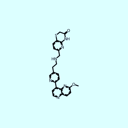 COc1ccc2nccc(-c3ccc(CCNCc4ccc5c(n4)NC(=O)CS5)cn3)c2n1